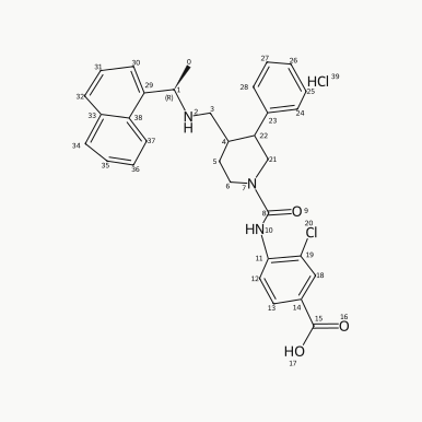 C[C@@H](NCC1CCN(C(=O)Nc2ccc(C(=O)O)cc2Cl)CC1c1ccccc1)c1cccc2ccccc12.Cl